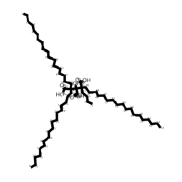 CCCCCCCCCCCCCCCCCCC(CCCCCCCCCCCCCCCCCC)(C(=O)O)C(O)(C(=O)O)C(CCCCCCCCCCCCCCCCCC)(C(=O)O)C(=O)CCC